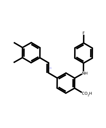 Cc1ccc(/C=C/c2ccc(C(=O)O)c(Nc3ccc(F)cc3)c2)cc1C